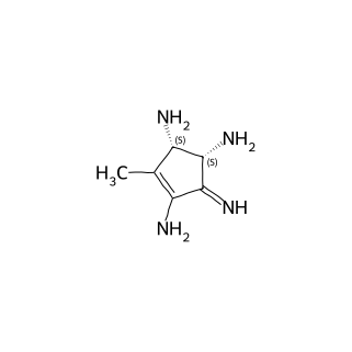 CC1=C(N)C(=N)[C@@H](N)[C@H]1N